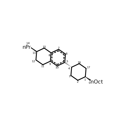 CCCCCCCC[C@H]1CC[C@H](c2ccc3c(c2)CCC(CCC)C3)CC1